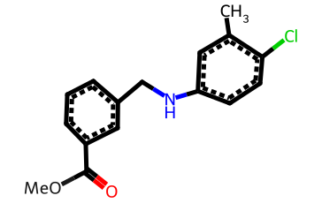 COC(=O)c1cccc(CNc2ccc(Cl)c(C)c2)c1